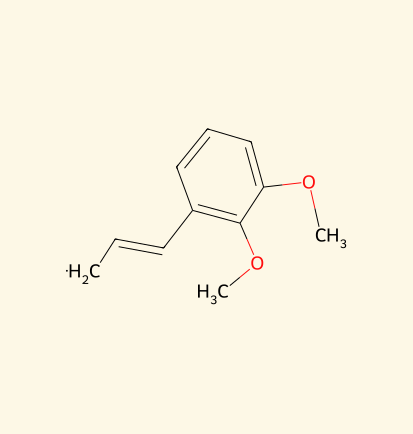 [CH2]C=Cc1cccc(OC)c1OC